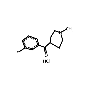 CN1CCC(C(=O)c2cccc(F)c2)CC1.Cl